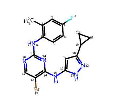 Cc1cc(F)ccc1Nc1ncc(Br)c(Nc2cc(C3CC3)n[nH]2)n1